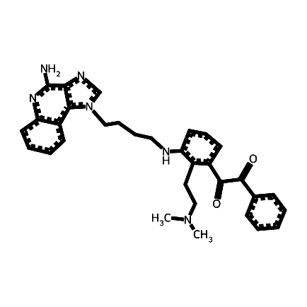 CN(C)CCc1c(NCCCCn2cnc3c(N)nc4ccccc4c32)cccc1C(=O)C(=O)c1ccccc1